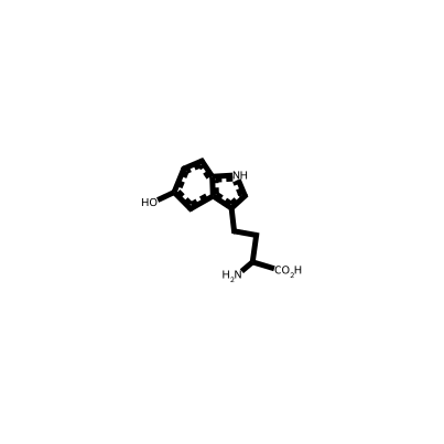 NC(CCc1c[nH]c2ccc(O)cc12)C(=O)O